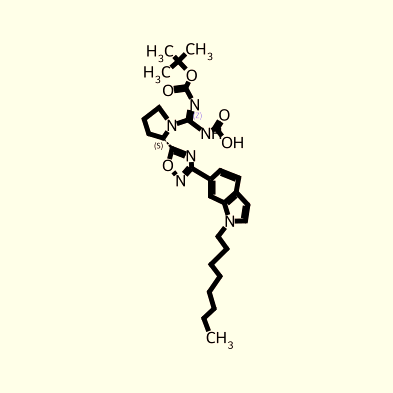 CCCCCCCCn1ccc2ccc(-c3noc([C@@H]4CCCN4/C(=N\C(=O)OC(C)(C)C)NC(=O)O)n3)cc21